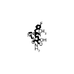 Cc1nc2c(O)c(C(N)=O)c(=O)n(Cc3ncc[nH]3)c2cc1Cc1ccc(F)cc1